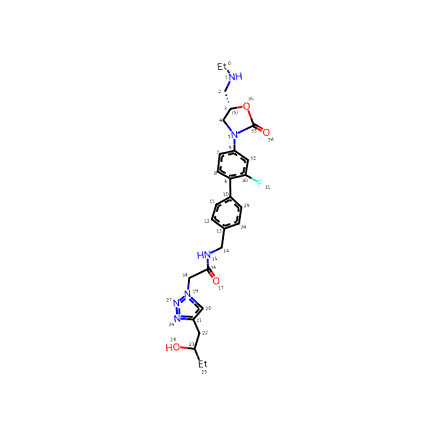 CCNC[C@H]1CN(c2ccc(-c3ccc(CNC(=O)Cn4cc(CC(O)CC)nn4)cc3)c(F)c2)C(=O)O1